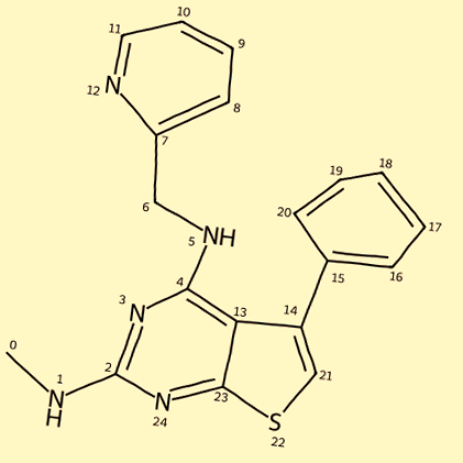 CNc1nc(NCc2ccccn2)c2c(-c3ccccc3)csc2n1